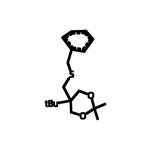 CC1(C)OCC(CSCc2ccccc2)(C(C)(C)C)CO1